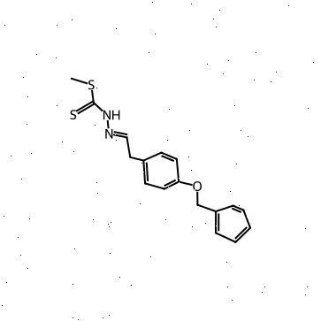 CSC(=S)NN=CCc1ccc(OCc2ccccc2)cc1